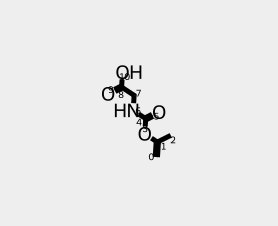 C=C(C)OC(=O)NCC(=O)O